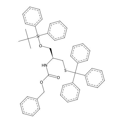 CC(C)(C)[Si](OC[C@@H](CSC(c1ccccc1)(c1ccccc1)c1ccccc1)NC(=O)OCc1ccccc1)(c1ccccc1)c1ccccc1